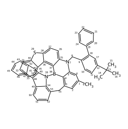 Cc1cc2c3c(c1)N(Cc1ccc(C(C)(C)C)cc1-c1ccccc1)c1ccc4sc5ccccc5c4c1B3n1c3sc4ccccc4c3c3cccc(c31)C2